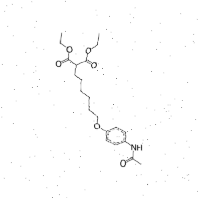 CCOC(=O)C(CCCCCCOc1ccc(NC(C)=O)cc1)C(=O)OCC